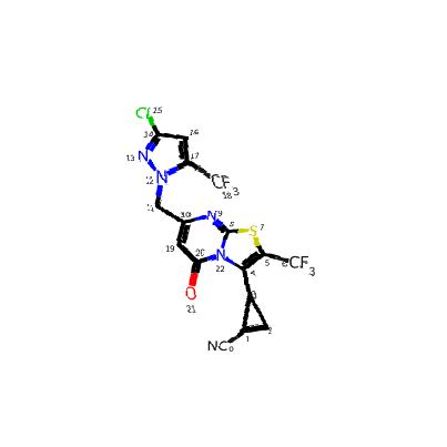 N#CC1CC1c1c(C(F)(F)F)sc2nc(Cn3nc(Cl)cc3C(F)(F)F)cc(=O)n12